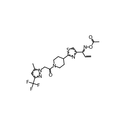 C=CC(=NOC(C)=O)c1csc(C2CCN(C(=O)Cn3nc(C(F)(F)F)cc3C)CC2)n1